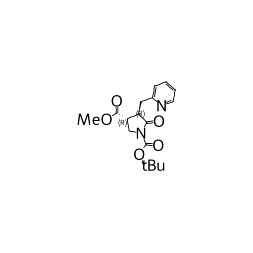 COC(=O)[C@H]1CN(C(=O)OC(C)(C)C)C(=O)[C@@H]1Cc1ccccn1